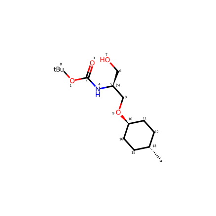 CC(C)(C)OC(=O)N[C@@H](CO)CO[C@H]1CC[C@H](C)CC1